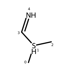 C[SH](C)C=N